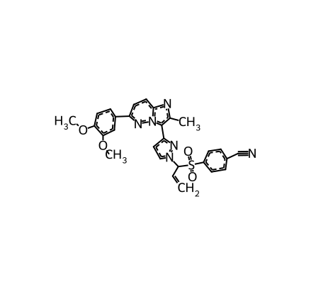 C=CC(n1ccc(-c2c(C)nc3ccc(-c4ccc(OC)c(OC)c4)nn23)n1)S(=O)(=O)c1ccc(C#N)cc1